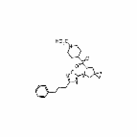 O=C(O)N1CCC(S(=O)(=O)N2CC3(CC3)C[C@H]2c2nc(CCCc3ccccc3)no2)CC1